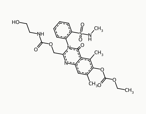 CCOC(=O)Oc1c(C)cc2nc(COC(=O)NCCO)n(-c3ccccc3S(=O)(=O)NC)c(=O)c2c1C